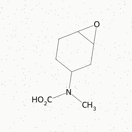 CN(C(=O)O)C1CCC2OC2C1